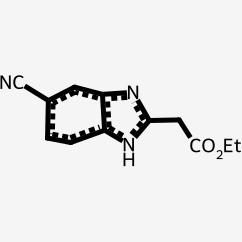 CCOC(=O)Cc1nc2cc(C#N)ccc2[nH]1